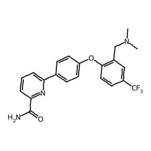 CN(C)Cc1cc(C(F)(F)F)ccc1Oc1ccc(-c2cccc(C(N)=O)n2)cc1